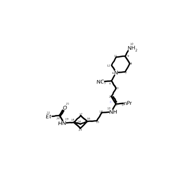 CCC/C(=C\CC(C#N)N1CCC(N)CC1)NCCC12CC(NC(=O)CC)(C1)C2